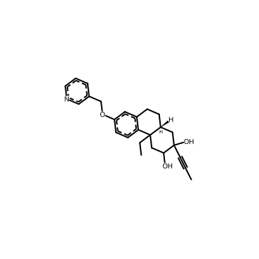 CC#CC1(O)C[C@H]2CCc3cc(OCc4cccnc4)ccc3C2(CC)CC1O